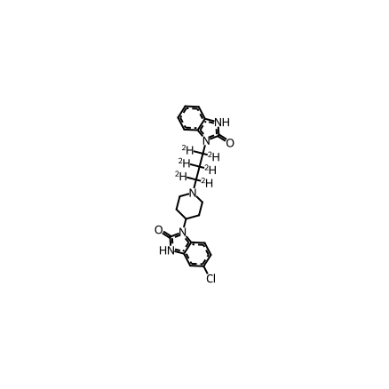 [2H]C([2H])(N1CCC(n2c(=O)[nH]c3cc(Cl)ccc32)CC1)C([2H])([2H])C([2H])([2H])n1c(=O)[nH]c2ccccc21